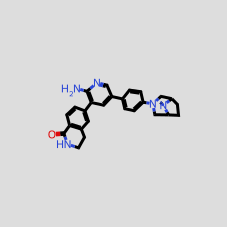 CN1C2CCC1CN(c1ccc(-c3cnc(N)c(-c4ccc5c(c4)CCNC5=O)c3)cc1)C2